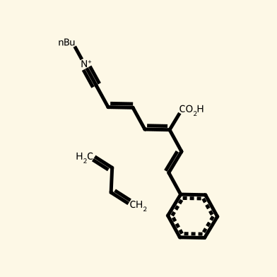 C=CC=C.CCCC[N+]#CC=CC=C(C=Cc1ccccc1)C(=O)O